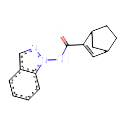 O=C(Nn1ncc2ccccc21)C1=CC2CCC1C2